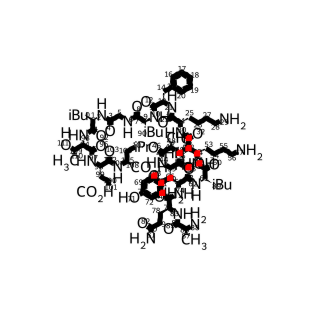 CC[C@H](C)[C@H](NC(=O)CNC(=O)[C@@H](NC(=O)[C@H](Cc1ccccc1)NC(=O)[C@H](CCCCN)NC(=O)[C@H](CO)NC(=O)[C@H](CC(N)=O)NC(=O)[C@H](C)NC(=O)[C@H](CCCCN)NC(=O)[C@@H](NC(=O)[C@H](Cc1ccc(O)cc1)NC(=O)[C@H](CCC(N)=O)NC(=O)[C@H](C)N)[C@@H](C)CC)[C@@H](C)CC)C(=O)N[C@H](C(=O)N[C@@H](CCC(=O)O)C(=O)N[C@@H](CC(C)C)C(=O)O)[C@@H](C)O